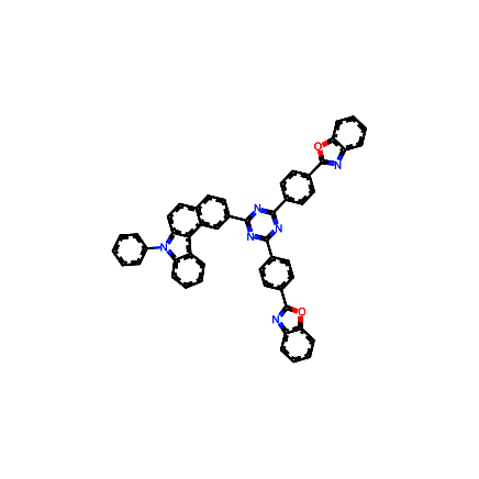 c1ccc(-n2c3ccccc3c3c4cc(-c5nc(-c6ccc(-c7nc8ccccc8o7)cc6)nc(-c6ccc(-c7nc8ccccc8o7)cc6)n5)ccc4ccc32)cc1